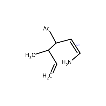 C=CC(C)C(/C=C\N)C(C)=O